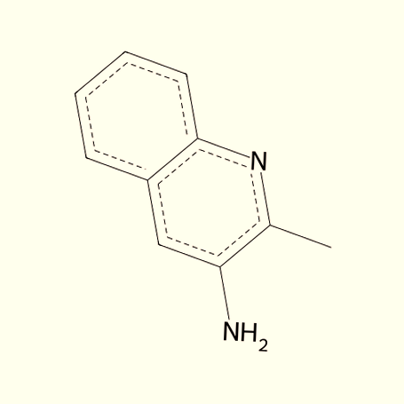 Cc1nc2ccccc2cc1N